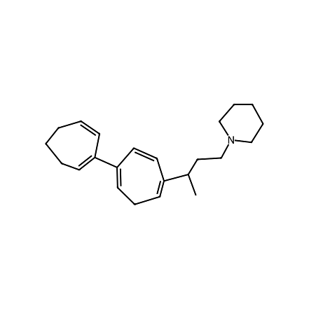 CC(CCN1CCCCC1)C1=CCC=C(C2=CCCCC=C2)C=C1